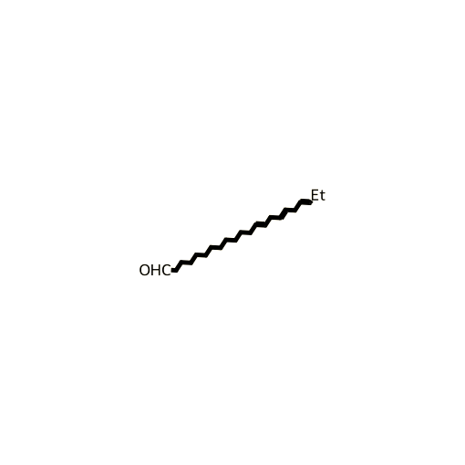 CC/C=C/C/C=C/C/C=C/CCCCCCCCCCCC=O